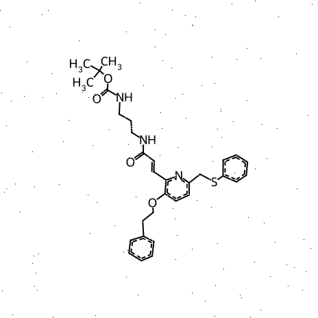 CC(C)(C)OC(=O)NCCCNC(=O)C=Cc1nc(CSc2ccccc2)ccc1OCCc1ccccc1